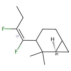 CC/C(F)=C(/F)C1CCC2C[C@H]2C1(C)C